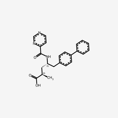 C[C@H](C[C@@H](Cc1ccc(-c2ccccc2)cc1)NC(=O)c1ccncn1)C(=O)O